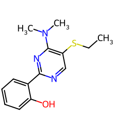 CCSc1cnc(-c2ccccc2O)nc1N(C)C